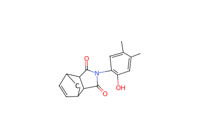 Cc1cc(O)c(N2C(=O)C3C4C=CC(CC4)C3C2=O)cc1C